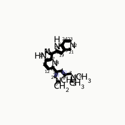 C=N/C=C(\C=C(/C)CN(C)C)c1ccc2[nH]nc(-c3cc4cnccc4[nH]3)c2n1